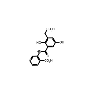 O=C(O)Cc1cc(O)cc(C(=O)Nc2cnccc2C(=O)O)c1O